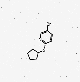 Brc1ccc(SC2CCCC2)nc1